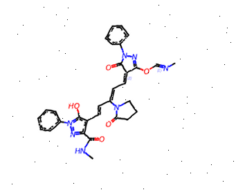 C/N=C/OC1=NN(c2ccccc2)C(=O)/C1=C\C=C(C=Cc1c(C(=O)NC)nn(-c2ccccc2)c1O)N1CCCC1=O